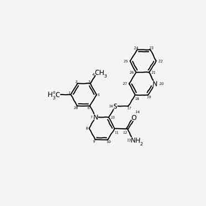 Cc1cc(C)cc(N2CC=CC(C(N)=O)=C2SCc2cnc3ccccc3c2)c1